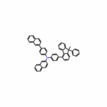 CC1(c2ccccc2)c2ccccc2-c2c(-c3ccc(N(c4ccc(-c5ccc6ccccc6c5)cc4)c4ccc5ccccc5c4)cc3)cccc21